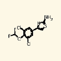 Nc1nc(-c2cc(Cl)c(OC(F)F)c(Cl)c2)cs1